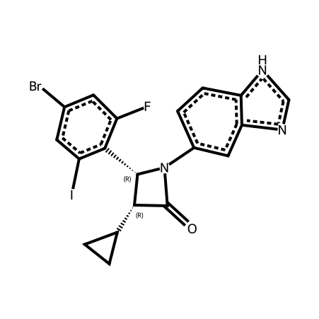 O=C1[C@H](C2CC2)[C@H](c2c(F)cc(Br)cc2I)N1c1ccc2[nH]cnc2c1